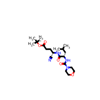 CC(C)C[C@H](NC(=O)N1CCOCC1)C(=O)N[C@H](C#N)CCC(=O)OC(C)(C)C